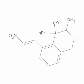 CCCC1(CCC)c2c(C=C[N+](=O)[O-])cccc2CCC1N